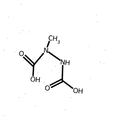 CN(NC(=O)O)C(=O)O